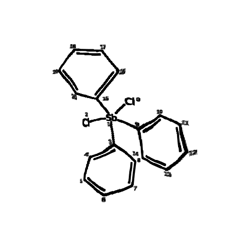 [Cl][Sb]([Cl])([c]1ccccc1)([c]1ccccc1)[c]1ccccc1